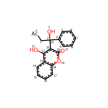 CC(=O)C[C@](O)(c1ccccc1)c1c(O)c2ccccc2oc1=O